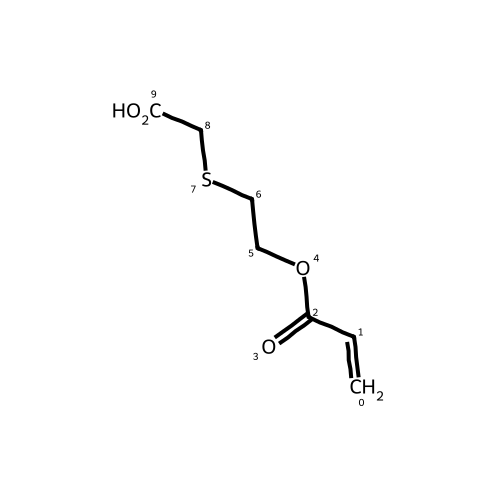 C=CC(=O)OCCSCC(=O)O